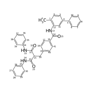 Cc1ccc(-c2ccccc2)cc1NC(=O)c1ccc(CC(C(=O)Nc2ccccc2)C(=O)Nc2ccccc2)cc1